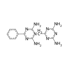 Cc1nc(N)nc(N)n1.Nc1nc(N)nc(-c2ccccc2)n1